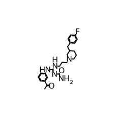 CC(=O)c1cccc(NC(=NC(N)=O)NCCCN2CCCC(Cc3ccc(F)cc3)C2)c1